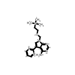 C[Si](C)(C)CCOCn1cc(-c2ncccn2)c2c(N)ncnc21